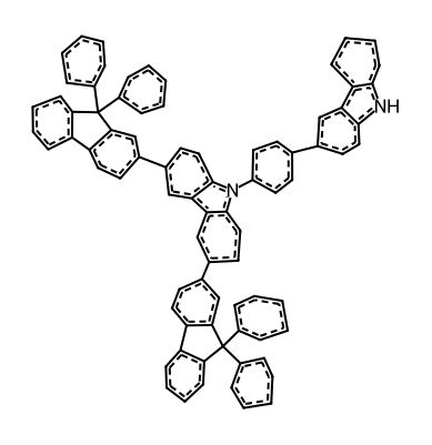 c1ccc(C2(c3ccccc3)c3ccccc3-c3ccc(-c4ccc5c(c4)c4cc(-c6ccc7c(c6)C(c6ccccc6)(c6ccccc6)c6ccccc6-7)ccc4n5-c4ccc(-c5ccc6[nH]c7ccccc7c6c5)cc4)cc32)cc1